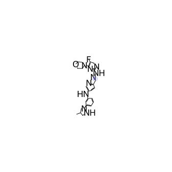 CC1CNN(c2cccc(Nc3ccc(/C=N/Nc4ncc(F)c(N5CCOCC5)n4)nc3)c2)C1